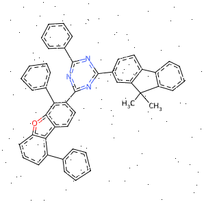 CC1(C)c2ccccc2-c2ccc(-c3nc(-c4ccccc4)nc(-c4ccc5c(oc6cccc(-c7ccccc7)c65)c4-c4ccccc4)n3)cc21